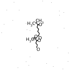 CC(C)C(=O)CCCCC(=O)ON(C)C(=O)CCC=O